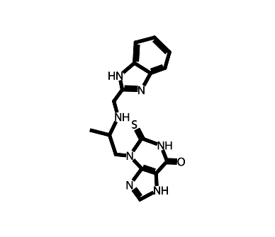 CC(Cn1c(=S)[nH]c(=O)c2[nH]cnc21)NCc1nc2ccccc2[nH]1